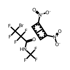 O=C(NC(F)(F)F)C(F)(F)C(F)(F)Br.O=[N+]([O-])c1cc2cc([N+](=O)[O-])c1-2